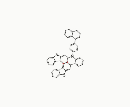 c1ccc(N(c2ccc(-c3cccc4ccccc34)cc2)c2ccc3c(c2)sc2ccccc23)c(-c2ccc3c(c2)sc2ccccc23)c1